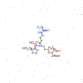 CCCCCCCCCC(OCCCN[C@@H](CCCNC(=N)N)C(=O)O)C(C)O.O=C(O)N1CCCC1=O